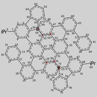 CC(C)c1cc2c3c(c1)-c1cc(-c4c(-c5ccccc5)cccc4-c4ccccc4)c4cc5c6c(cc(-c7c(-c8ccccc8)cccc7-c7ccccc7)c7cc(c1c4c76)B3c1ccccc1-2)-c1cc(C(C)C)cc2c1B5c1ccccc1-2